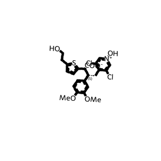 COc1ccc([C@@H](Cc2c(Cl)c[n+](O)cc2Cl)C(C(=O)[O-])c2ccc(CCO)s2)cc1OC